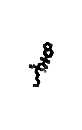 CCN(CC(C)(C)CCCCO)S(=O)(=O)c1ccc2c(c1)OCO2